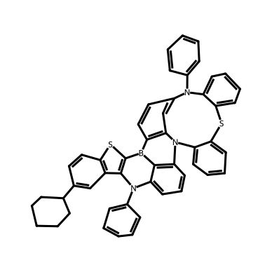 c1ccc(N2c3ccc4c(c3)N(c3ccccc3Sc3ccccc32)c2cccc3c2B4c2sc4ccc(C5CCCCC5)cc4c2N3c2ccccc2)cc1